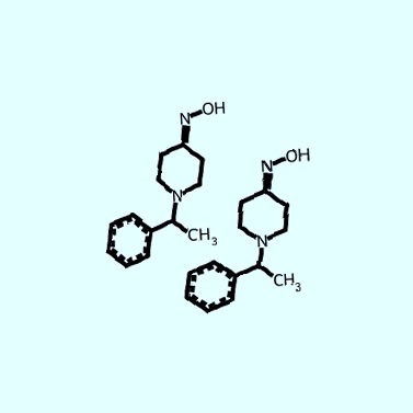 CC(c1ccccc1)N1CCC(=NO)CC1.CC(c1ccccc1)N1CCC(=NO)CC1